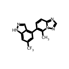 Cc1c(-c2cc(C(F)(F)F)cc3[nH]ncc23)ccc2ncnn12